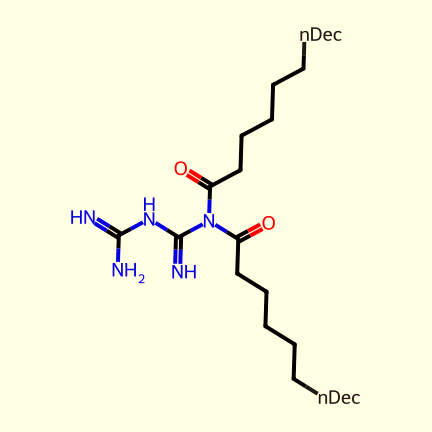 CCCCCCCCCCCCCCCC(=O)N(C(=N)NC(=N)N)C(=O)CCCCCCCCCCCCCCC